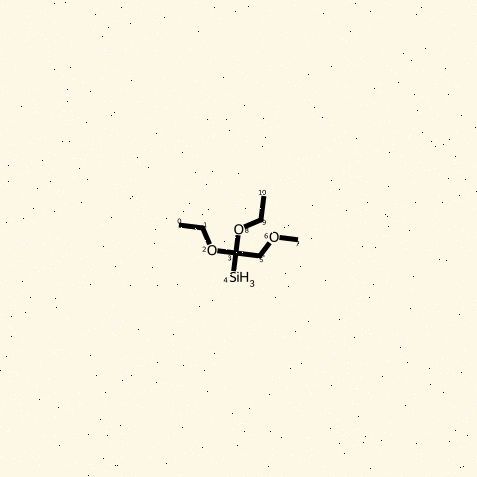 CCOC([SiH3])([CH]OC)OCC